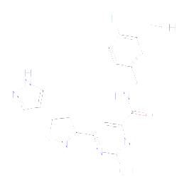 COc1cc(CNC(=O)c2cc(C3=NOC(c4cn[nH]c4)C3)nc(C)n2)ccc1F